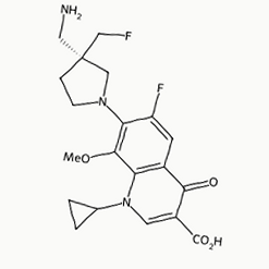 COc1c(N2CC[C@@](CN)(CF)C2)c(F)cc2c(=O)c(C(=O)O)cn(C3CC3)c12